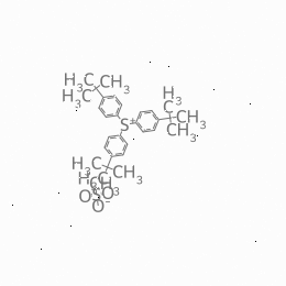 CC(C)(C)c1ccc([S+](c2ccc(C(C)(C)C)cc2)c2ccc(C(C)(C)C)cc2)cc1.CS(=O)(=O)[O-]